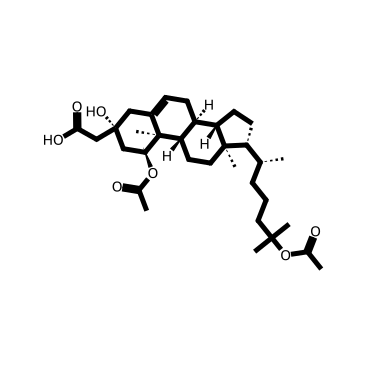 CC(=O)O[C@H]1C[C@@](O)(CC(=O)O)CC2=CC[C@H]3[C@@H]4CC[C@H]([C@H](C)CCCC(C)(C)OC(C)=O)[C@@]4(C)CC[C@@H]3[C@]21C